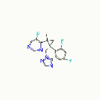 CC1(c2ncncc2F)C[C@@]1(Cn1cncn1)c1ccc(F)cc1F